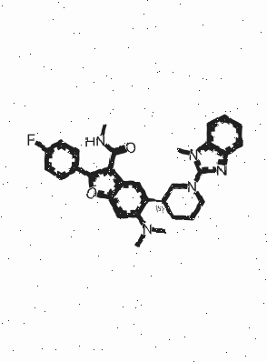 CNC(=O)c1c(-c2ccc(F)cc2)oc2cc(N(C)C)c([C@@H]3CCCN(c4nc5ccccc5n4C)C3)cc12